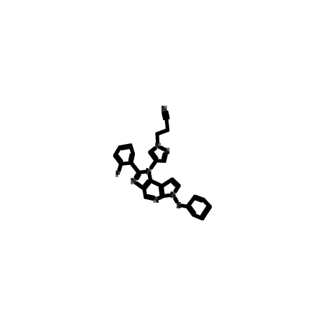 N#CCCn1cc(-n2c(-c3ccccc3F)nc3cnc4c(ccn4Sc4ccccc4)c32)cn1